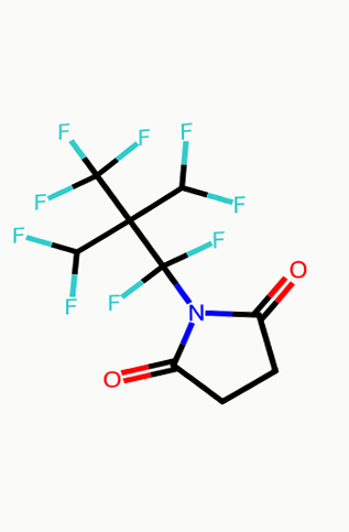 O=C1CCC(=O)N1C(F)(F)C(C(F)F)(C(F)F)C(F)(F)F